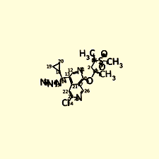 C[C@H](C[C@@H](C)S(C)(=O)=O)Oc1ncc([C@@H](N=[N+]=[N-])C2CC2)c2cc(Cl)ncc12